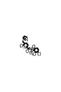 COc1ccc(Cl)c(OC)c1[S+]([O-])NC(=O)c1ccc(Cn2cccn2)c(OC)n1